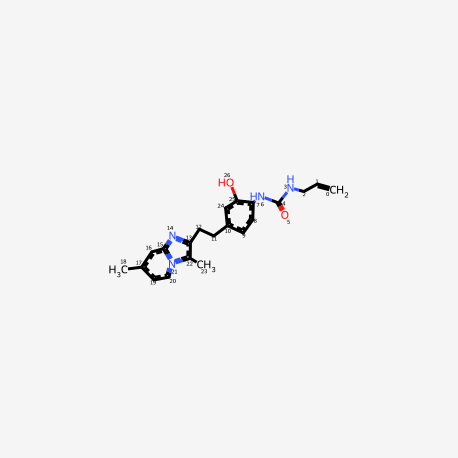 C=CCNC(=O)Nc1ccc(CCc2nc3cc(C)ccn3c2C)cc1O